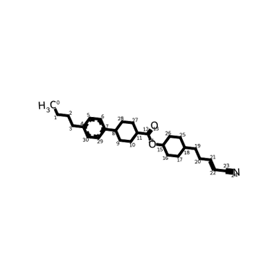 CCCCc1ccc(C2CCC(C(=O)OC3CCC(CC/C=C/C#N)CC3)CC2)cc1